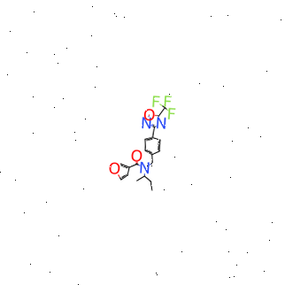 CCC(C)N(Cc1ccc(-c2noc(C(F)(F)F)n2)cc1)C(=O)c1ccoc1